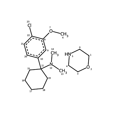 C1COCCN1.COc1cc(C2(N(C)C)CCCCC2)ccc1Cl